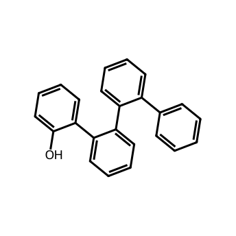 Oc1ccccc1-c1ccccc1-c1ccccc1-c1ccccc1